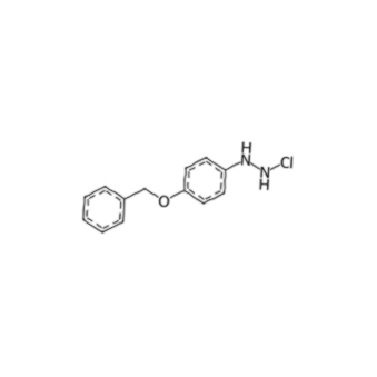 ClNNc1ccc(OCc2ccccc2)cc1